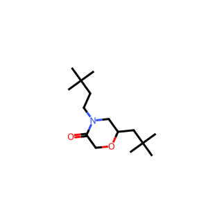 CC(C)(C)CCN1CC(CC(C)(C)C)OCC1=O